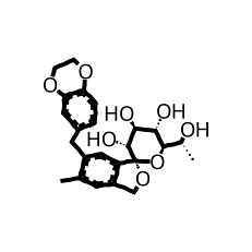 Cc1cc2c(cc1Cc1ccc3c(c1)OCCO3)[C@]1(OC2)O[C@H]([C@@H](C)O)[C@@H](O)[C@H](O)[C@H]1O